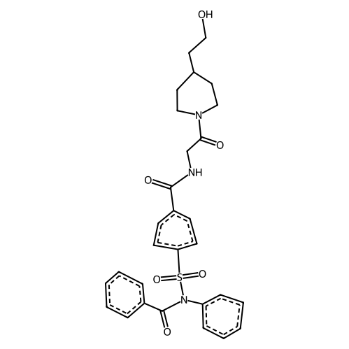 O=C(NCC(=O)N1CCC(CCO)CC1)c1ccc(S(=O)(=O)N(C(=O)c2ccccc2)c2ccccc2)cc1